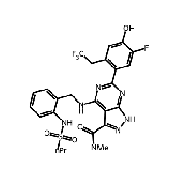 CCCS(=O)(=O)Nc1ccccc1CNc1nc(-c2cc(F)c(O)cc2CC(F)(F)F)nc2[nH]nc(C(=O)NC)c12